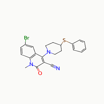 Cn1c(=O)c(C#N)c(N2CCC(Sc3ccccc3)CC2)c2cc(Br)ccc21